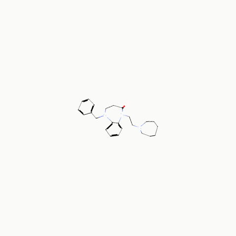 O=C1CCN(Cc2ccccc2)c2ccccc2N1CCN1CCCCCC1